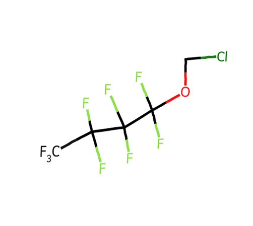 FC(F)(F)C(F)(F)C(F)(F)C(F)(F)OCCl